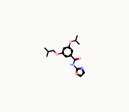 CC(C)COc1cc(OC(C)C)cc(C(=O)Nc2nccs2)c1